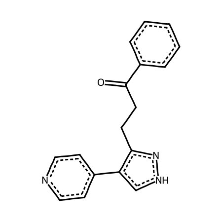 O=C(CCc1n[nH]cc1-c1ccncc1)c1ccccc1